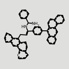 NC(N/C(=C\Cc1c2ccccc2cc2c1ccc1ccccc12)c1ccc(-c2c3ccccc3cc3c2ccc2ccccc23)cc1)c1ccccc1